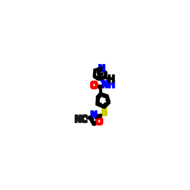 N#Cc1coc(Sc2ccc(C(=O)N[C@H]3CN4CCC3CC4)cc2)n1